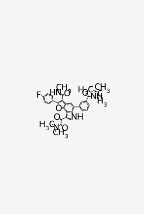 CNC(=O)c1c(-c2ccc(F)cc2)oc2c1cc(-c1cccc(C(=O)NC(C)(C)C)c1)c1[nH]cc(C(=O)C(=O)N(C)C)c12